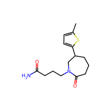 Cc1ccc(C2CCCC(=O)N(CCCC(N)=O)C2)s1